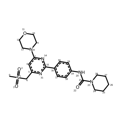 CS(=O)(=O)Cc1cc(N2CCOCC2)nc(-c2ccc(NC(=O)N3CCCCC3)cc2)n1